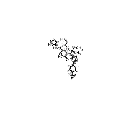 CCCC[C@@H](C(=O)C(=O)Nc1ccn[nH]1)N(C(=O)O)C(c1nnc(-c2ccc(C(F)(F)F)cc2)o1)C(C)(C)CC